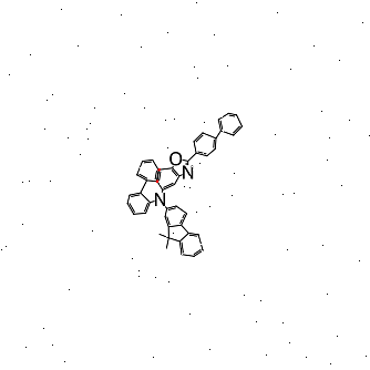 CC1(C)c2ccccc2-c2ccc(N(c3ccc4oc(-c5ccc(-c6ccccc6)cc5)nc4c3)c3ccccc3-c3ccccc3)cc21